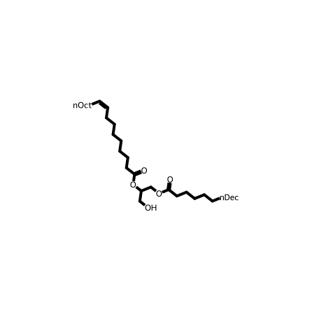 CCCCCCCC/C=C\CCCCCCCC(=O)OC(CO)COC(=O)CCCCCCCCCCCCCCC